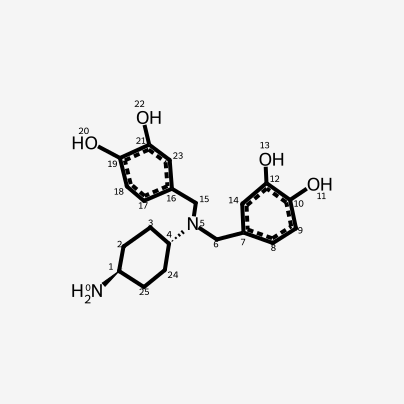 N[C@H]1CC[C@H](N(Cc2ccc(O)c(O)c2)Cc2ccc(O)c(O)c2)CC1